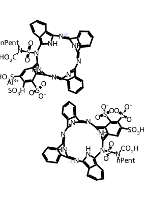 CCCCCN(C(=O)O)S(=O)(=O)N1c2[nH]c(c3ccccc23)/N=c2\[nH]c(c3ccccc23)=NC2=NC(=Nc3[nH]c1c1cc(S(=O)(=O)O)c(S(=O)(=O)O)c(S(=O)(=O)[O-])c31)c1ccccc12.CCCCCN(C(=O)O)S(=O)(=O)N1c2[nH]c(c3ccccc23)/N=c2\[nH]c(c3ccccc23)=NC2=NC(=Nc3[nH]c1c1cc(S(=O)(=O)O)c(S(=O)(=O)[O-])c(S(=O)(=O)[O-])c31)c1ccccc12.[Al+3]